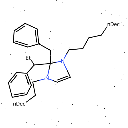 CCCCCCCCCCCCCCN1C=CN(CCCCCCCCCCCC)C1(Cc1ccccc1)C(CC)c1ccccc1